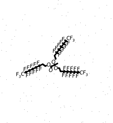 CC(OCCC(F)(F)C(F)(F)C(F)(F)C(F)(F)C(F)(F)C(F)(F)F)(OCCC(F)(F)C(F)(F)C(F)(F)C(F)(F)C(F)(F)C(F)(F)F)C(=O)OCCC(F)(F)C(F)(F)C(F)(F)C(F)(F)C(F)(F)C(F)(F)F